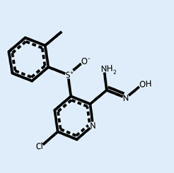 Cc1ccccc1[S+]([O-])c1cc(Cl)cnc1C(N)=NO